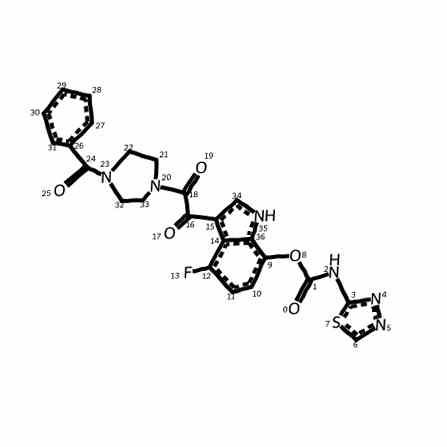 O=C(Nc1nncs1)Oc1ccc(F)c2c(C(=O)C(=O)N3CCN(C(=O)c4ccccc4)CC3)c[nH]c12